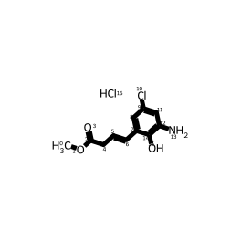 COC(=O)CC=Cc1cc(Cl)cc(N)c1O.Cl